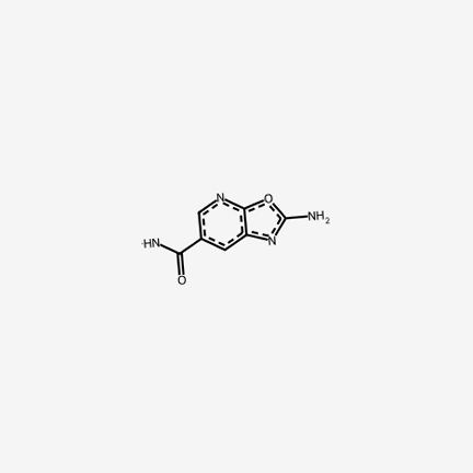 [NH]C(=O)c1cnc2oc(N)nc2c1